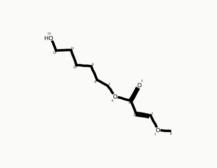 COC=CC(=O)OCCCCCCO